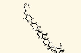 CCCCC1CCC(C2CCC(c3ccc(C4CCC(C(F)(F)Oc5cc(F)c(F)c(F)c5)CC4)c(F)c3)CC2)CC1